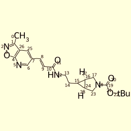 Cc1noc2ncc(/C=C/C(=O)NCCC3[C@H]4CN(C(=O)OC(C)(C)C)C[C@@H]34)cc12